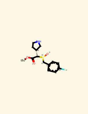 CC(C)(C)OC(=O)C([C@@H]1CCNC1)[S+]([O-])Cc1ccc(F)cc1